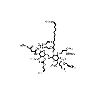 C=CCOC(=O)O[C@H]1[C@H](OCCCCCCCCCC)[C@@H](NC(=O)CC(=O)CCCCCCCCCCC)[C@@H](OP(=O)(OCC=C)OCC=C)O[C@@H]1CO[C@@H]1O[C@H](COC)[C@@H](OP(=O)(OCC=C)OCC=C)[C@H](OCC[C@@H](CCCCCCC)OC)[C@H]1OCCCCCCCCCC/C=C\CCCCCC